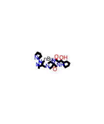 CCCCN1C(=O)[C@@H]([C@H](O)C2CCCCC2)NC(=O)C12CCN(Cc1c(C)nn(-c3ccccn3)c1C)CC2